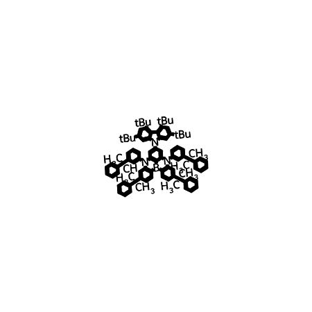 CC(C)(C)c1cc(C(C)(C)C)c2c3c(C(C)(C)C)cc(C(C)(C)C)cc3n(-c3cc4c5c(c3)N(c3cccc(C(C)(C)c6ccccc6)c3)c3cc(C(C)(C)c6ccccc6)ccc3B5c3ccc(C(C)(C)c5ccccc5)cc3N4c3cccc(C(C)(C)c4ccccc4)c3)c2c1